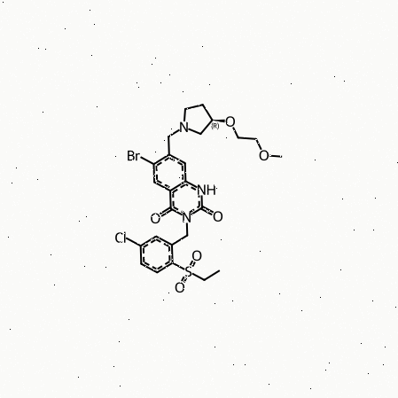 CCS(=O)(=O)c1ccc(Cl)cc1Cn1c(=O)[nH]c2cc(CN3CC[C@@H](OCCOC)C3)c(Br)cc2c1=O